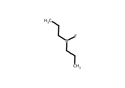 CCCB(F)CCC